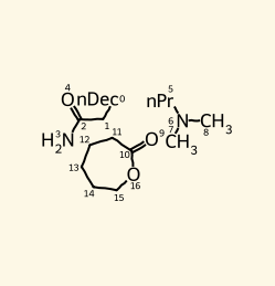 CCCCCCCCCCCC(N)=O.CCCN(C)C.O=C1CCCCCO1